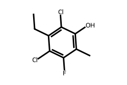 CCc1c(Cl)c(O)c(C)c(F)c1Cl